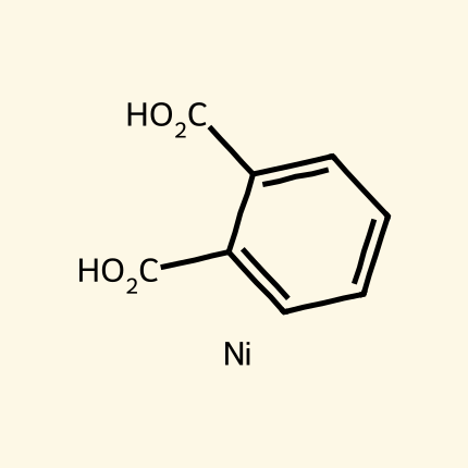 O=C(O)c1ccccc1C(=O)O.[Ni]